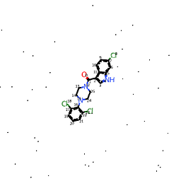 O=C(c1c[nH]c2cc(Cl)ccc12)N1CCN(c2c(Cl)cccc2Cl)CC1